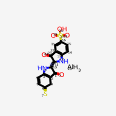 O=C1C2=C(C=CC(=S)C2)N/C1=C1/Nc2ccc(S(=O)(=O)O)cc2C1=O.[AlH3]